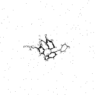 CCOC(=O)c1sc(-n2cnc3ccc(CN4CCN(C)CC4)cc32)cc1O[C@H](C)c1ccccc1Cl